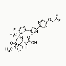 CN=S1(=O)C[C@@](C)(c2cc(-c3cc(-c4cnc(OCC(F)F)cn4)no3)ccc2F)N=C(NC(=O)O)C12CCCC2